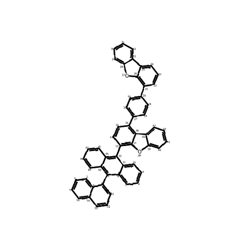 c1ccc2c(-c3c4ccccc4c(-c4ccc(-c5ccc(-c6cccc7c6oc6ccccc67)cc5)c5c4oc4ccccc45)c4ccccc34)cccc2c1